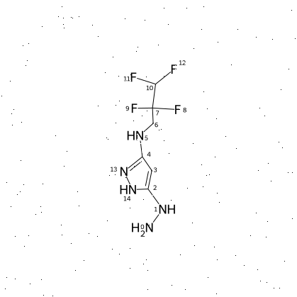 NNc1cc(NCC(F)(F)C(F)F)n[nH]1